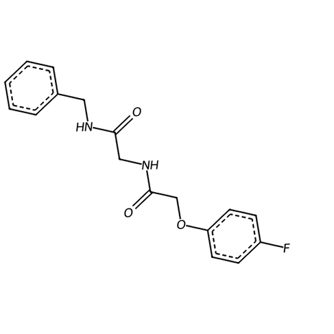 O=C(CNC(=O)COc1ccc(F)cc1)NCc1ccccc1